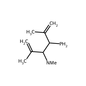 C=C(C)C(P)C(NC)C(=C)C